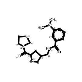 CN(C)c1cccc(C(=O)NCC2CNC(C(=O)N3CCSC3)C2)c1